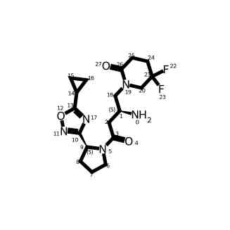 N[C@@H](CC(=O)N1CCC[C@H]1c1noc(C2CC2)n1)CN1CC(F)(F)CCC1=O